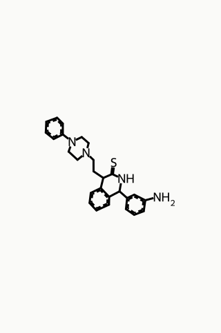 Nc1cccc(C2NC(=S)C(CCN3CCN(c4ccccc4)CC3)c3ccccc32)c1